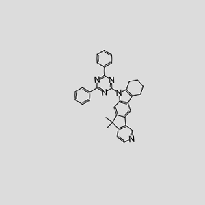 CC1(C)c2ccncc2-c2cc3c4c(n(-c5nc(-c6ccccc6)nc(-c6ccccc6)n5)c3cc21)CCCC4